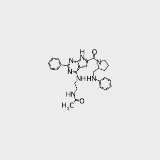 CC(=O)NCCNc1nc(-c2ccccc2)nc2[nH]c(C(=O)N3CCCC3CNc3ccccc3)cc12